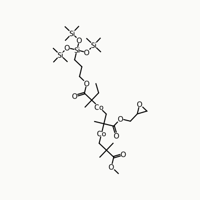 CC[C](C)([Co][CH2][C](C)([Co][CH2]C(C)(C)C(=O)OC)C(=O)OCC1CO1)C(=O)OCCC[Si](O[Si](C)(C)C)(O[Si](C)(C)C)O[Si](C)(C)C